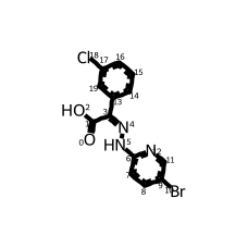 O=C(O)C(=NNc1ccc(Br)cn1)c1cccc(Cl)c1